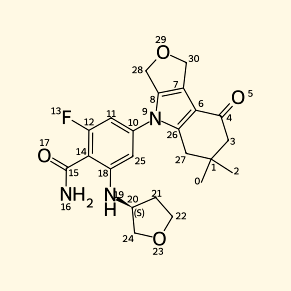 CC1(C)CC(=O)c2c3c(n(-c4cc(F)c(C(N)=O)c(N[C@H]5CCOC5)c4)c2C1)COC3